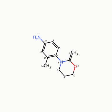 C=C1OCCCN1c1ccc(N)cc1C